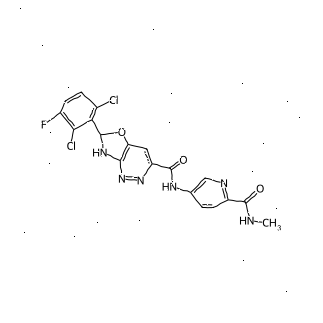 CNC(=O)c1ccc(NC(=O)c2cc3c(nn2)NC(c2c(Cl)ccc(F)c2Cl)O3)cn1